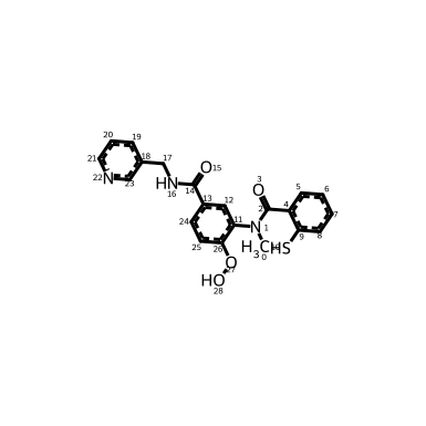 CN(C(=O)c1ccccc1S)c1cc(C(=O)NCc2cccnc2)ccc1OO